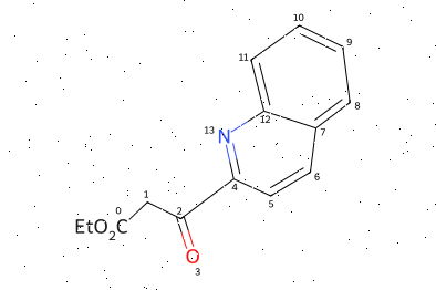 CCOC(=O)CC(=O)c1ccc2ccccc2n1